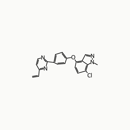 C=Cc1ccnc(-c2ccc(Oc3ccc(Cl)c4c3cnn4C)cc2)n1